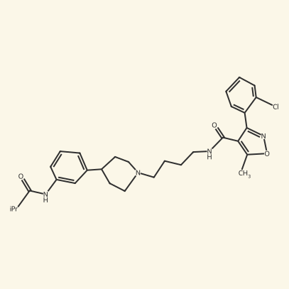 Cc1onc(-c2ccccc2Cl)c1C(=O)NCCCCN1CCC(c2cccc(NC(=O)C(C)C)c2)CC1